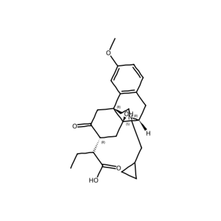 CCC(C(=O)O)[C@H]1C[C@@]2(O)[C@H]3Cc4ccc(OC)cc4[C@@]2(CCN3CC2CC2)CC1=O